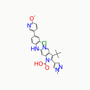 COc1ccc(-c2ccc(Nc3cc4c(cn3)c(C(C)(C)C)c(-c3cnn(C)c3)n4C(=O)O)c(Cl)c2)cn1